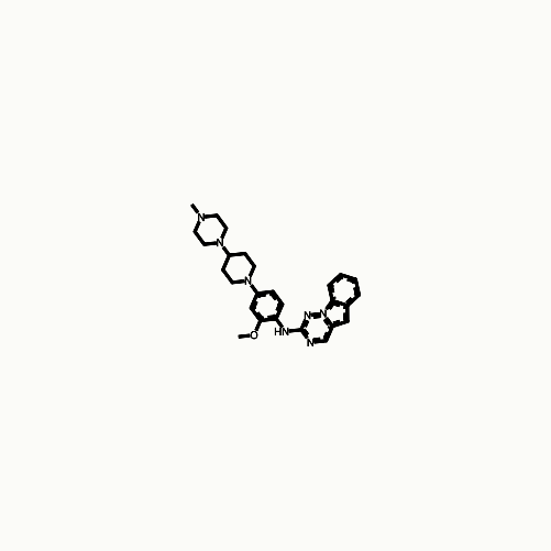 COc1cc(N2CCC(N3CCN(C)CC3)CC2)ccc1Nc1ncc2cc3ccccc3n2n1